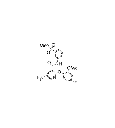 CNS(=O)(=O)c1cccc(NC(=O)c2cc(C(F)(F)F)cnc2Oc2ccc(F)cc2OC)c1